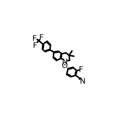 CC1(C)Cc2cc(-c3ccc(C(F)(F)F)cc3)ccc2N(Oc2ccc(C#N)c(F)c2)C1